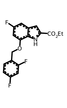 CCOC(=O)c1cc2cc(F)cc(OCc3ccc(F)cc3F)c2[nH]1